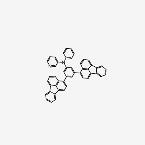 c1ccc(N(c2cccnc2)c2cc(-c3ccc4c5c(cccc35)-c3ccccc3-4)cc(-c3ccc4c5c(cccc35)-c3ccccc3-4)c2)cc1